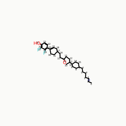 C/C=C/CCCCC1CCC(C2CCC(CCC3CC=C(c4ccc(O)c(F)c4F)CC3)OC2)CC1